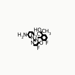 CC(C)(O)c1ccc(F)cc1Cn1c(N2CCC[C@@H](N)C2)ncc(F)c1=O